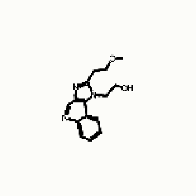 COCCc1nc2cnc3ccccc3c2n1CCO